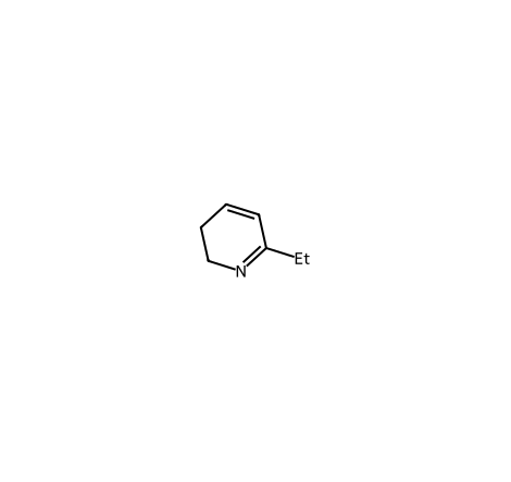 CCC1=NCCC=C1